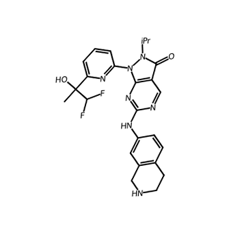 CC(C)n1c(=O)c2cnc(Nc3ccc4c(c3)CNCC4)nc2n1-c1cccc(C(C)(O)C(F)F)n1